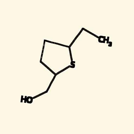 CCC1CCC(CO)S1